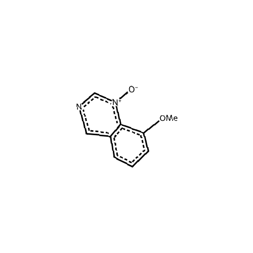 COc1cccc2cnc[n+]([O-])c12